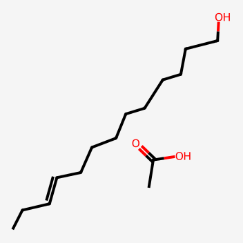 CC(=O)O.CCC=CCCCCCCCCCO